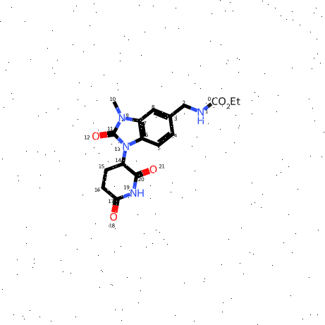 CCOC(=O)NCc1ccc2c(c1)n(C)c(=O)n2C1CCC(=O)NC1=O